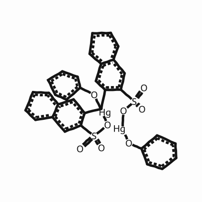 O=S(=O)([O][Hg][O]c1ccccc1)c1cc2ccccc2cc1Cc1cc2ccccc2cc1S(=O)(=O)[O][Hg][O]c1ccccc1